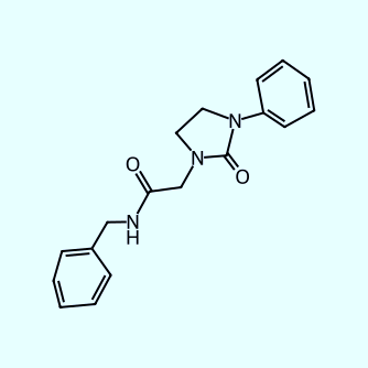 O=C(CN1CCN(c2ccccc2)C1=O)NCc1ccccc1